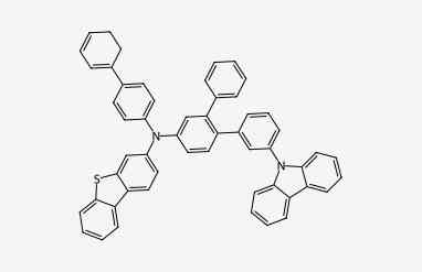 C1=CCCC(c2ccc(N(c3ccc(-c4cccc(-n5c6ccccc6c6ccccc65)c4)c(-c4ccccc4)c3)c3ccc4c(c3)sc3ccccc34)cc2)=C1